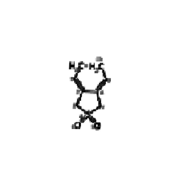 C/C=C1/CS(=O)(=O)C/C1=C/C